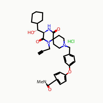 C#CCN1C(=O)[C@@H]([C@H](O)C2CCCCC2)NC(=O)C12CCN(Cc1ccc(Oc3ccc(C(=O)NC)cc3)cc1)CC2.Cl